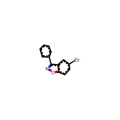 C[CH]c1ccc2onc(-c3ccccc3)c2c1